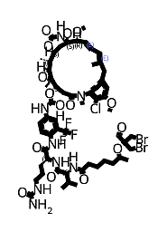 COc1cc2cc(c1Cl)N(C)C(=O)C[C@H](OC(O)Nc1ccc(NC(=O)[C@H](CCCNC(N)=O)NC(=O)[C@@H](NC(=O)CCCCC(C)OC(C=O)(CBr)CBr)C(C)C)c(C(F)(F)F)c1)[C@]1(C)O[C@H]1[C@H](C)[C@@H]1C[C@@](O)(NC(=O)O1)[C@H](OC)/C=C/C=C(\C)C2